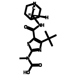 CN(C(=O)O)c1nc(C(C)(C)C)c(C(=O)N[C@H]2CN3CCC2CC3)s1